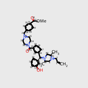 C=CCN1C[C@H](C)N([C@@H](c2cccc(O)c2)c2cccc(C(=O)N3CCN(Cc4ccc(C(=O)OC)cc4)CC3)c2)C[C@H]1C